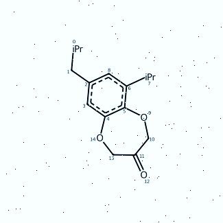 CC(C)Cc1cc2c(c(C(C)C)c1)OCC(=O)CO2